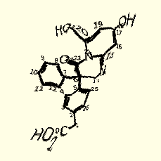 O=C(O)Cc1ccc(C2(c3ccccc3)CN=C3C=C(O)C=C(O)N3C2=O)cc1